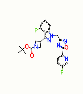 CC(C)(C)OC(=O)N1CC(c2nn(Cc3noc(-c4ccc(F)cn4)n3)c3cccc(F)c23)C1